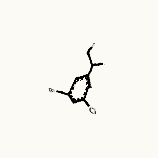 [CH2]C(CF)c1cc(Cl)cc(Br)c1